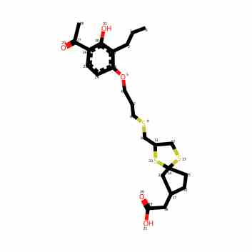 CCCc1c(OCCCSCC2CSC3(CCC(CC(=O)O)C3)S2)ccc(C(C)=O)c1O